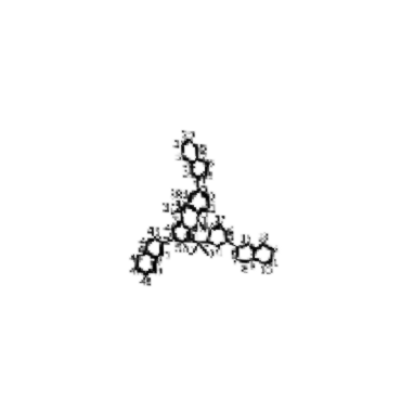 CC1(C)c2cc(-c3ccc4ccccc4c3)ccc2N2c3ccc(-c4ccc5ccccc5c4)cc3C(C)(C)c3cc(-c4ccc5ccccc5c4)cc1c32